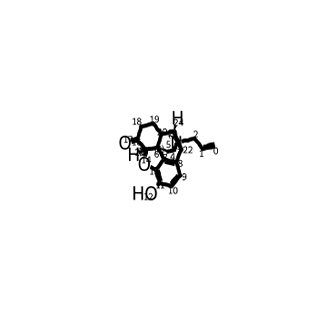 C=CCN1CC[C@@]23c4c5ccc(O)c4O[C@@H]2C(=O)CCC3[C@@H]1C5